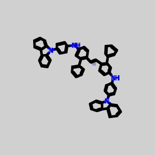 C(=C\c1ccc(Nc2ccc(-n3c4ccccc4c4ccccc43)cc2)cc1-c1ccccc1)/c1ccc(Nc2ccc(-n3c4ccccc4c4ccccc43)cc2)cc1-c1ccccc1